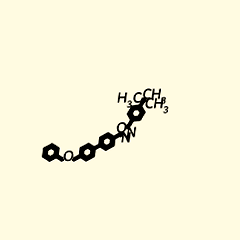 CC(C)(C)c1ccc(-c2nnc(-c3ccc(-c4ccc(COCc5ccccc5)cc4)cc3)o2)cc1